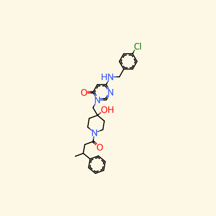 CC(CC(=O)N1CCC(O)(Cn2cnc(NCc3ccc(Cl)cc3)cc2=O)CC1)c1ccccc1